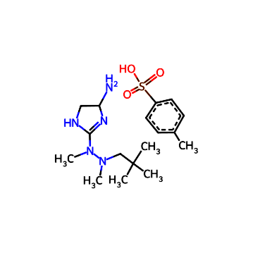 CN(CC(C)(C)C)N(C)C1=NC(N)CN1.Cc1ccc(S(=O)(=O)O)cc1